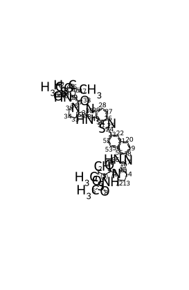 CC(C)[C@H](NS(C)(=O)=O)C(=O)N1CCC[C@H]1c1nc2ccc3cc(-c4nc5ccc6nc([C@@H]7CCCN7C(=O)[C@@H](NS(C)(=O)=O)C(C)C)[nH]c6c5s4)ccc3c2[nH]1